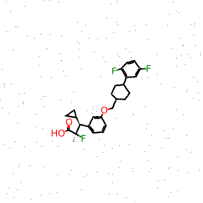 C[C@](F)(C(=O)O)[C@H](c1cccc(OCC2CCC(c3cc(F)ccc3F)CC2)c1)C1CC1